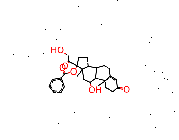 CC12CCC(=O)C=C1CCC1C2C(O)CC2(C)C1CCC2(OC(=O)c1ccccc1)C(=O)CO